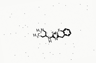 CCC(CN)Nc1nc(Cc2ccccc2F)ns1